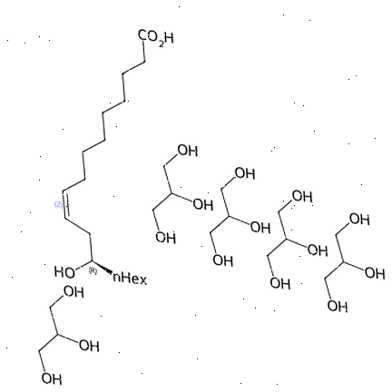 CCCCCC[C@@H](O)C/C=C\CCCCCCCC(=O)O.OCC(O)CO.OCC(O)CO.OCC(O)CO.OCC(O)CO.OCC(O)CO